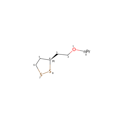 CCCOCC[C@@H]1CCSS1